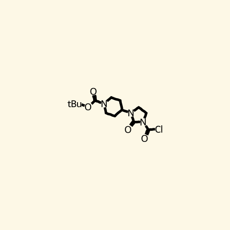 CC(C)(C)OC(=O)N1CCC(N2CCN(C(=O)Cl)C2=O)CC1